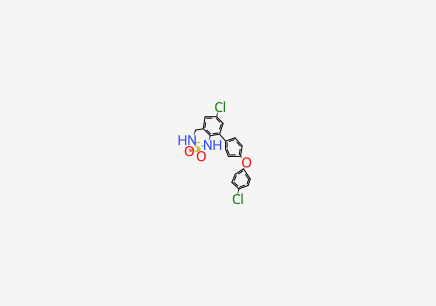 O=S1(=O)NCc2cc(Cl)cc(-c3ccc(Oc4ccc(Cl)cc4)cc3)c2N1